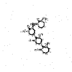 CCCN1CCCCN(C(C)C)C1=S.CCCN1CCCCN(C(C)C)C1=S.CCCN1CCCCN(C(C)C)C1=S.CCCN1CCCCN(C(C)C)C1=S.[Pt]